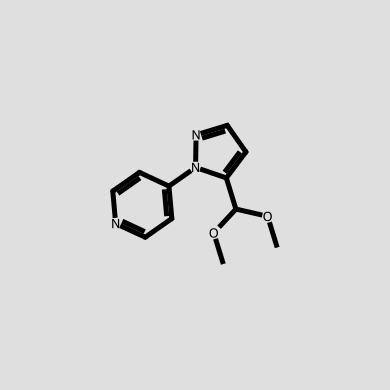 COC(OC)c1ccnn1-c1ccncc1